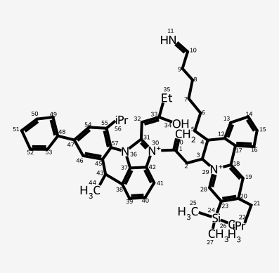 C=C(CC1C(CCCCCC=N)c2ccccc2-c2cc(CC(C)C)c([Si](C)(C)C)c[n+]21)[n+]1c(/C=C(\O)CC)n2c3c(cccc31)C(C)c1cc(-c3ccccc3)cc(C(C)C)c1-2